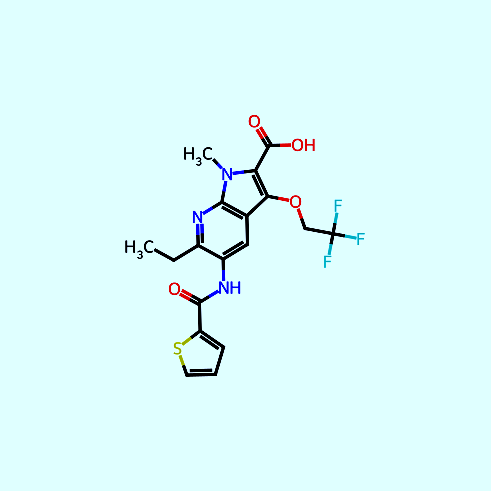 CCc1nc2c(cc1NC(=O)c1cccs1)c(OCC(F)(F)F)c(C(=O)O)n2C